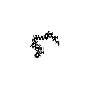 C=NCCCNCC1CC1(CC)c1ccc(OCCCc2sc(N3CCCc4c3nnc(Nc3nc5ccccc5[nH]3)c4C)nc2C(=O)O)c(F)c1